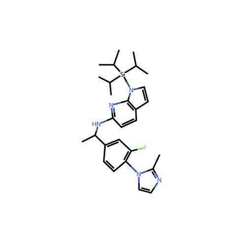 Cc1nccn1-c1ccc(C(C)Nc2ccc3ccn([Si](C(C)C)(C(C)C)C(C)C)c3n2)cc1F